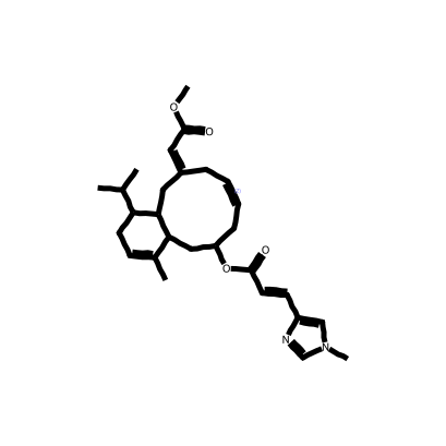 COC(=O)C=C1C/C=C\CC(OC(=O)C=Cc2cn(C)cn2)CC2C(C)=CCC(C(C)C)C2C1